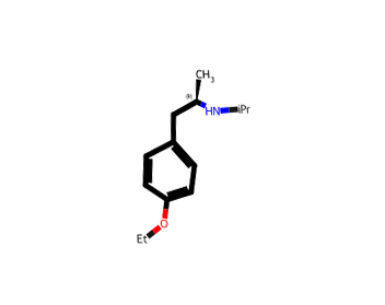 CCOc1ccc(C[C@@H](C)NC(C)C)cc1